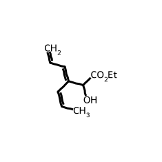 C=C/C=C(\C=C/C)C(O)C(=O)OCC